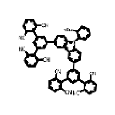 CC(C)(C)c1ccccc1-n1c2ccc(-c3cc(-c4c(C#N)cccc4C#N)cc(-c4c(C#N)cccc4C#N)c3)cc2c2cc(-c3cc(-c4c(C#N)cccc4C#N)cc(-c4c(C#N)cccc4C#N)c3)ccc21